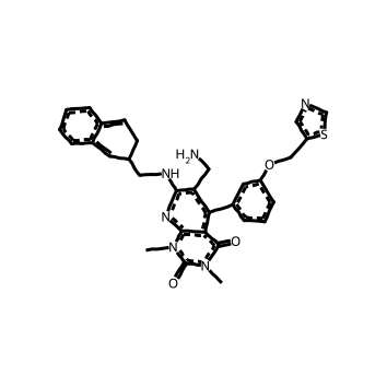 Cn1c(=O)c2c(-c3cccc(OCc4cncs4)c3)c(CN)c(NCC3C=c4ccccc4=CC3)nc2n(C)c1=O